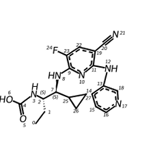 CC[C@H](NC(=O)O)[C@@H](Nc1nc(Nc2cccnc2)c(C#N)cc1F)C1CC1